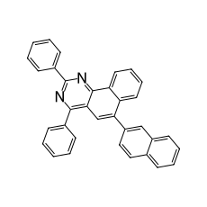 c1ccc(-c2nc(-c3ccccc3)c3cc(-c4ccc5ccccc5c4)c4ccccc4c3n2)cc1